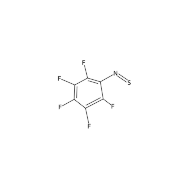 Fc1c(F)c(F)c(N=S)c(F)c1F